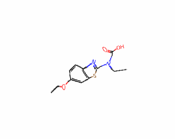 CCOc1ccc2nc(N(CC)C(=O)O)sc2c1